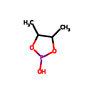 CC1OP(O)OC1C